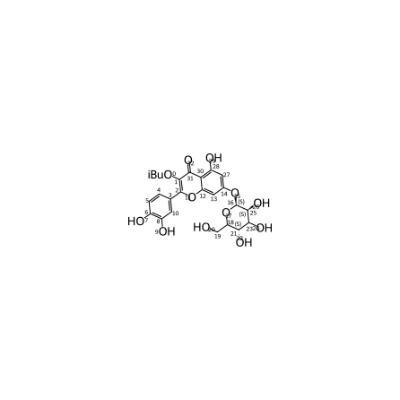 CC(C)COc1c(-c2ccc(O)c(O)c2)oc2cc(O[C@@H]3OC(CO)[C@@H](O)C(O)[C@@H]3O)cc(O)c2c1=O